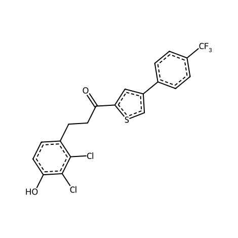 O=C(CCc1ccc(O)c(Cl)c1Cl)c1cc(-c2ccc(C(F)(F)F)cc2)cs1